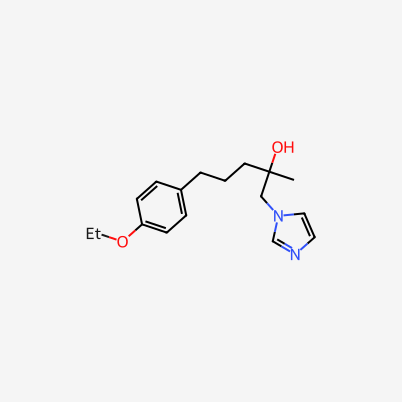 CCOc1ccc(CCCC(C)(O)Cn2ccnc2)cc1